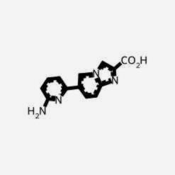 Nc1cccc(-c2ccc3nc(C(=O)O)cn3c2)n1